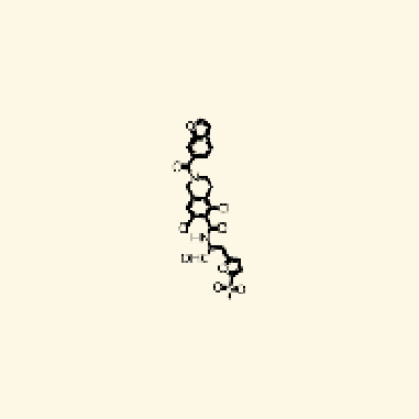 CS(=O)(=O)c1ccc(C[C@@H](C=O)NC(=O)c2c(Cl)cc3c(c2Cl)CCN(C(=O)c2ccc4ccoc4c2)C3)o1